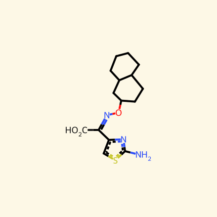 Nc1nc(C(=NOC2CCC3CCCCC3C2)C(=O)O)cs1